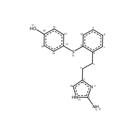 Nc1nc(CCc2ccccc2Sc2ccc(O)cc2)c[nH]1